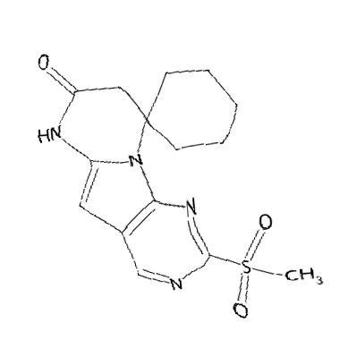 CS(=O)(=O)c1ncc2cc3n(c2n1)C1(CCCCC1)CC(=O)N3